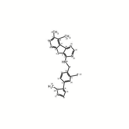 Cc1nnc2sc3c(NCc4ccc(-c5ccnn5C)cc4F)ncnc3c2c1C